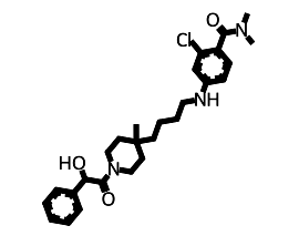 CN(C)C(=O)c1ccc(NCCCCC2(C)CCN(C(=O)C(O)c3ccccc3)CC2)cc1Cl